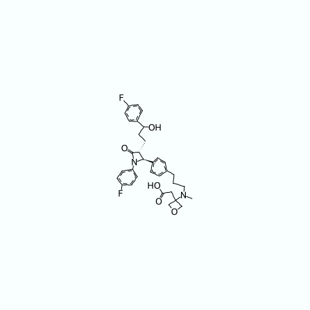 CN(CCCc1ccc([C@@H]2[C@@H](CCC(O)c3ccc(F)cc3)C(=O)N2c2ccc(F)cc2)cc1)C1(CC(=O)O)COC1